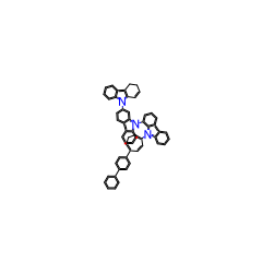 C1=Cc2c(c3ccccc3n2-c2ccc3c4ccccc4n(-c4cccc5c6ccccc6n(C6=CCC=C(c7ccc(-c8ccccc8)cc7)C=C6)c45)c3c2)CC1